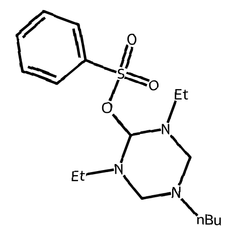 CCCCN1CN(CC)C(OS(=O)(=O)c2ccccc2)N(CC)C1